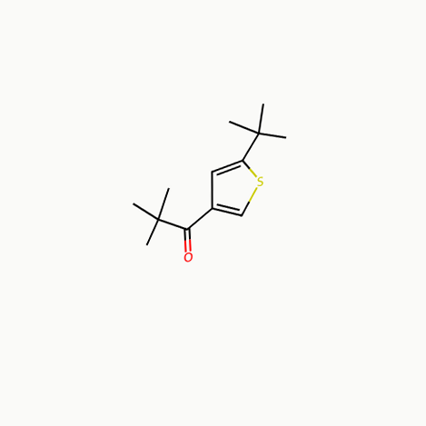 CC(C)(C)C(=O)c1csc(C(C)(C)C)c1